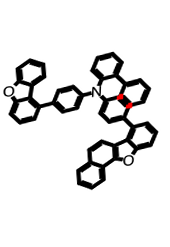 c1ccc(-c2ccccc2N(c2ccc(-c3cccc4oc5ccccc5c34)cc2)c2ccc(-c3cccc4oc5c6ccccc6ccc5c34)cc2)cc1